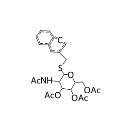 CC(=O)NC1C(SCc2ccc3ccccc3c2)OC(COC(C)=O)C(OC(C)=O)C1OC(C)=O